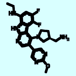 CCNc1cc(F)c(F)c2c1[nH]c1ncc(-c3cnc(OC)nc3)c(N3CC[C@@H](CN)C3)c12